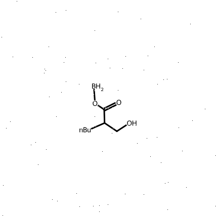 BOC(=O)C(CO)CCCC